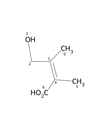 CC(CO)=C(C)C(=O)O